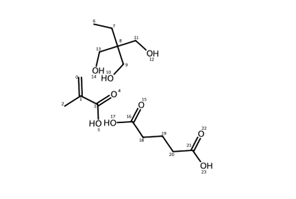 C=C(C)C(=O)O.CCC(CO)(CO)CO.O=C(O)CCCC(=O)O